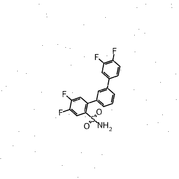 NS(=O)(=O)c1cc(F)c(F)cc1-c1cccc(-c2ccc(F)c(F)c2)c1